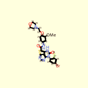 COc1cc(NC(=O)c2sc3ncnc4c3c2NC(=O)N4c2ccc(Br)cc2F)ccc1OCCN1CCOCC1